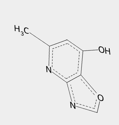 Cc1cc(O)c2ocnc2n1